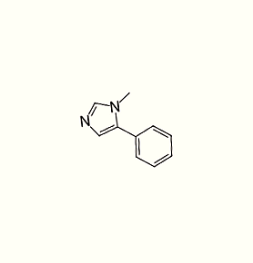 Cn1cncc1-c1ccccc1